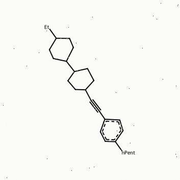 CCCCCc1ccc(C#CC2CCC(C3CCC(CC)CC3)CC2)cc1